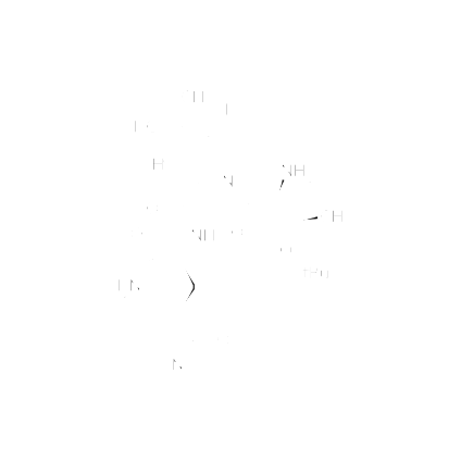 C[C@@H](OC(C)(C)C)[C@H](N)C(=O)N1C[C@H]2[C@@H]([C@H]1C(=O)N[C@@H](C[C@@H]1CCCNC1=O)C(N)=O)C2(C)C